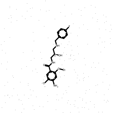 CCOc1cc(N)c(Cl)cc1C(=O)NC[C@H](O)CNCc1ccc(F)cc1